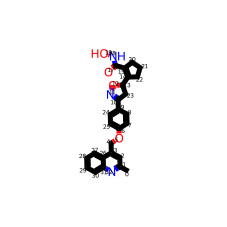 Cc1cc(COc2ccc(C3=NOC(C4=C(C(=O)NO)CCC4)C3)cc2)c2ccccc2n1